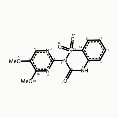 COc1cnc(N2C(=O)Nc3ccccc3S2(=O)=O)nc1OC